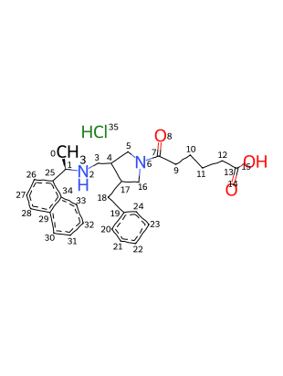 C[C@@H](NCC1CN(C(=O)CCCCC(=O)O)CC1Cc1ccccc1)c1cccc2ccccc12.Cl